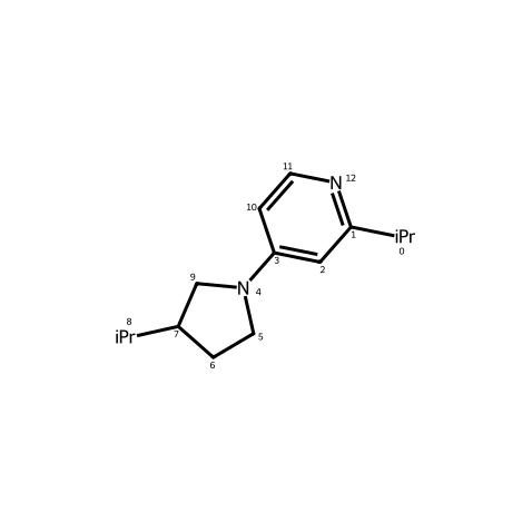 CC(C)c1cc(N2CCC(C(C)C)C2)ccn1